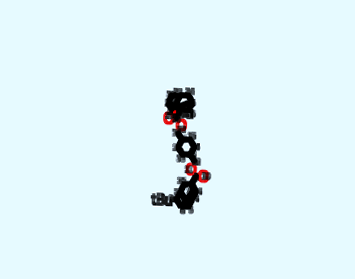 CC(C)(C)C1C2CC3CC1CC(C(=O)OCC1CCC(COC(=O)C45CC6CC(C4)C(C(C)(C)C)C(C6)C5)CC1)(C3)C2